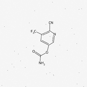 N#Cc1ncc(OC(N)=O)cc1C(F)(F)F